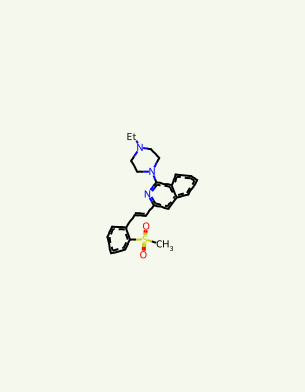 CCN1CCN(c2nc(C=Cc3ccccc3S(C)(=O)=O)cc3ccccc23)CC1